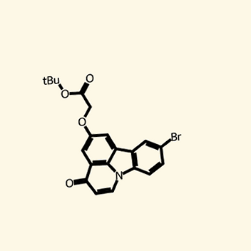 CC(C)(C)OC(=O)COc1cc2c(=O)ccn3c4ccc(Br)cc4c(c1)c23